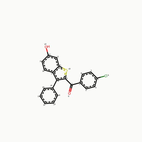 O=C(c1ccc(Cl)cc1)c1sc2cc(O)ccc2c1-c1ccccc1